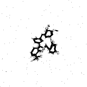 COc1cccc(Cc2cccc(-c3c4cccc(C(F)(F)F)c4nn3Cc3ccc(Cl)cc3F)c2)c1OC